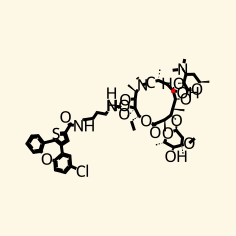 CC[C@H]1OC(=O)[C@H](C)[C@@H](O[C@H]2C[C@@](C)(OC)[C@@H](O)[C@H](C)O2)[C@H](C)[C@@H](O[C@@H]2O[C@H](C)C[C@H](N(C)C)[C@H]2O)[C@](C)(O)C[C@@H](C)CN(C)[C@H](C)C(OC(=O)NCCCCNC(=O)c2cc3c(s2)-c2ccccc2Oc2ccc(Cl)cc2-3)[C@]1(C)O